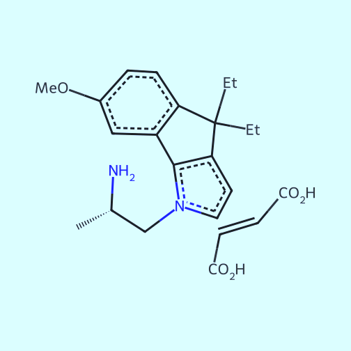 CCC1(CC)c2ccc(OC)cc2-c2c1ccn2C[C@H](C)N.O=C(O)/C=C/C(=O)O